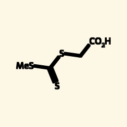 CSC(=S)SCC(=O)O